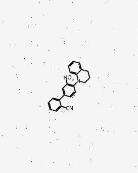 N#Cc1ccccc1-c1ccc(N2CCCc3ccccc32)c([N+](=O)[O-])c1